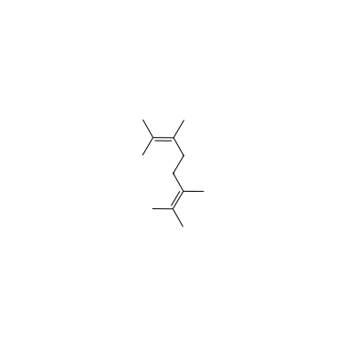 CC(C)=C(C)CCC(C)=C(C)C